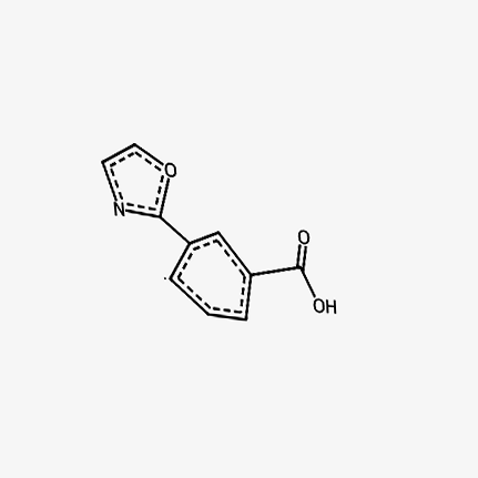 O=C(O)c1cc[c]c(-c2ncco2)c1